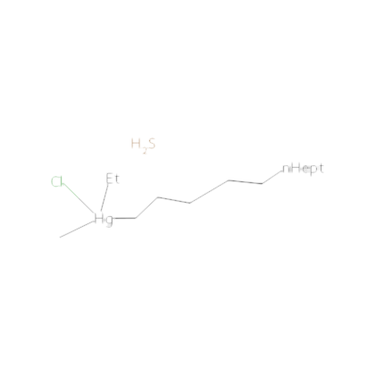 CCCCCCCCCCC[CH2][Hg]([CH3])([Cl])[CH2]C.S